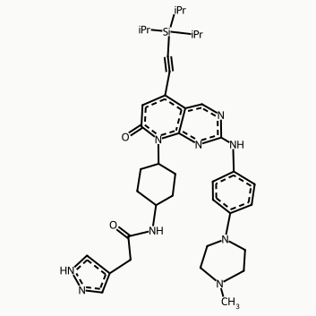 CC(C)[Si](C#Cc1cc(=O)n(C2CCC(NC(=O)Cc3cn[nH]c3)CC2)c2nc(Nc3ccc(N4CCN(C)CC4)cc3)ncc12)(C(C)C)C(C)C